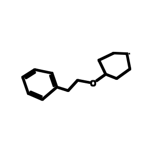 [CH]1CCC(OCCc2ccccc2)CC1